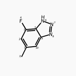 Cc1cc(F)c2[nH]nnc2c1